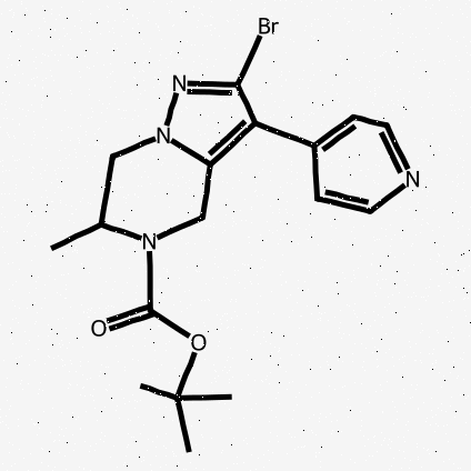 CC1Cn2nc(Br)c(-c3ccncc3)c2CN1C(=O)OC(C)(C)C